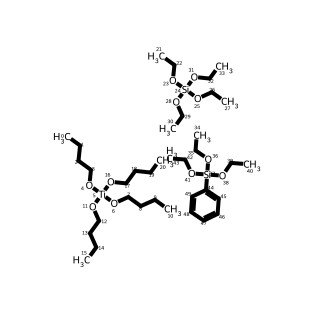 CCCC[O][Ti]([O]CCCC)([O]CCCC)[O]CCCC.CCO[Si](OCC)(OCC)OCC.CCO[Si](OCC)(OCC)c1ccccc1